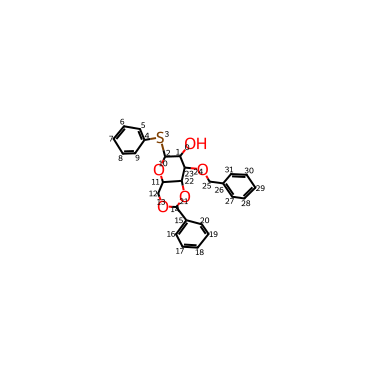 OC1C(Sc2ccccc2)OC2COC(c3ccccc3)OC2C1OCc1ccccc1